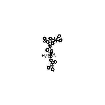 CC1(C)OB(c2ccc(-c3nc(-c4ccccc4)c(-c4ccccc4)nc3-c3ccccc3)cc2)OC1(C)Cc1cccc(-c2nc(-c3ccc(-c4nc(-c5ccccc5)c(-c5ccccc5)nc4-c4ccccc4)cc3)c(-c3ccc4c(c3)oc3ccccc34)nc2-c2ccccc2)c1